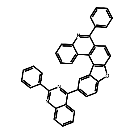 c1ccc(-c2nc(-c3ccc4oc5ccc6c(-c7ccccc7)nc7ccccc7c6c5c4c3)c3ccccc3n2)cc1